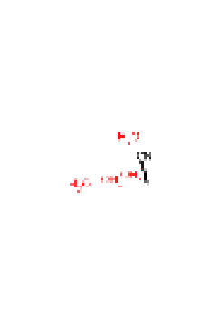 CC#N.O.O.O.O